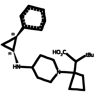 CC(C)(C)C(C(=O)O)C1(N2CCC(N[C@@H]3C[C@H]3c3ccccc3)CC2)CCC1